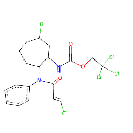 O=C(NC1CC(Cl)CCCC1N(C(=O)C=CCl)c1ccccc1)OCC(Cl)(Cl)Cl